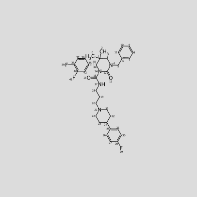 CC1(C)CN(Cc2ccccc2)C(=O)N(C(=O)NCCCN2CCC(c3ccc(F)cc3)CC2)[C@@H]1c1ccc(F)c(F)c1